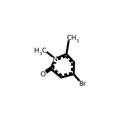 Cc1cc(Br)cc(=O)n1C